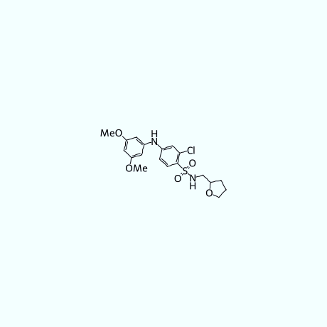 COc1cc(Nc2ccc(S(=O)(=O)NCC3CCCO3)c(Cl)c2)cc(OC)c1